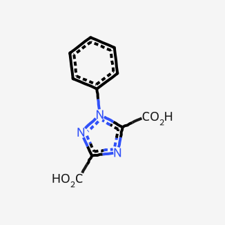 O=C(O)c1nc(C(=O)O)n(-c2ccccc2)n1